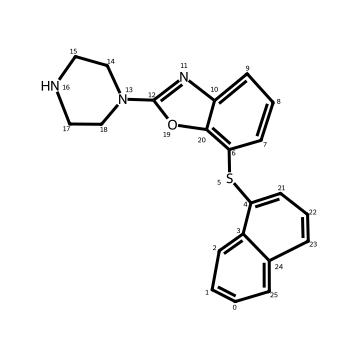 c1ccc2c(Sc3cccc4nc(N5CCNCC5)oc34)cccc2c1